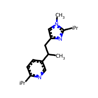 CC(C)c1ccc(C(C)Cc2cn(C)c(C(C)C)n2)cn1